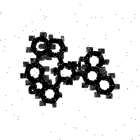 c1ccc(C2=NC(c3cccc4oc5ccc(-c6ccccc6)cc5c34)=NC(c3cc4ccccc4c4ccccc34)N2)cc1